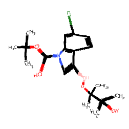 CC(C)(C)OC(O)n1cc(BOC(C)(C)C(C)(C)O)c2ccc(Cl)cc21